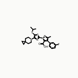 Cc1nn(-c2nc(N3CCC4(CC3)CC4)c(SC(C)C)s2)c(C(=O)O)c1-c1cccc(F)c1